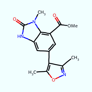 COC(=O)c1cc(-c2c(C)noc2C)cc2[nH]c(=O)n(C)c12